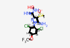 C[S+]([O-])c1c(C(=N)NO)nn(-c2c(Cl)cc(OC(F)(F)F)cc2Cl)c1N